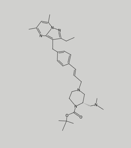 CCc1nn2c(C)cc(C)nc2c1Cc1ccc(/C=C/CN2CCN(C(=O)OC(C)(C)C)[C@@H](CN(C)C)C2)cc1